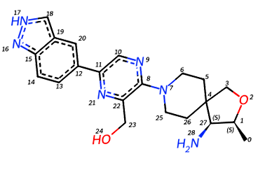 C[C@@H]1OCC2(CCN(c3ncc(-c4ccc5n[nH]cc5c4)nc3CO)CC2)[C@@H]1N